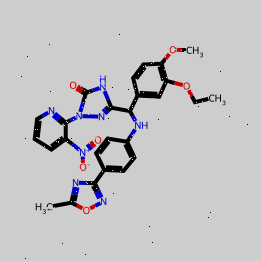 CCOc1cc(C(Nc2ccc(-c3noc(C)n3)cc2)c2nn(-c3ncccc3[N+](=O)[O-])c(=O)[nH]2)ccc1OC